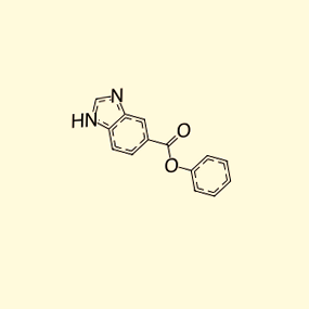 O=C(Oc1ccccc1)c1ccc2[nH]cnc2c1